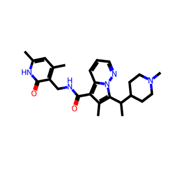 Cc1cc(C)c(CNC(=O)c2c(C)c(C(C)C3CCN(C)CC3)n3ncccc23)c(=O)[nH]1